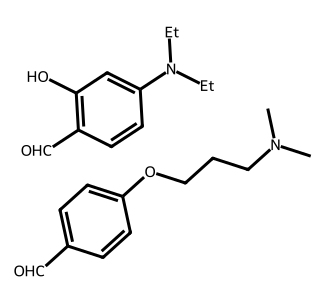 CCN(CC)c1ccc(C=O)c(O)c1.CN(C)CCCOc1ccc(C=O)cc1